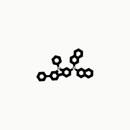 c1ccc(-c2ccc3c4ccc(N(c5ccc6ccccc6c5)c5ccc6ccccc6c5)cc4n(-c4ccccc4)c3c2)cc1